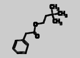 CC(C)(C)CCOC(=O)Cc1ccccc1